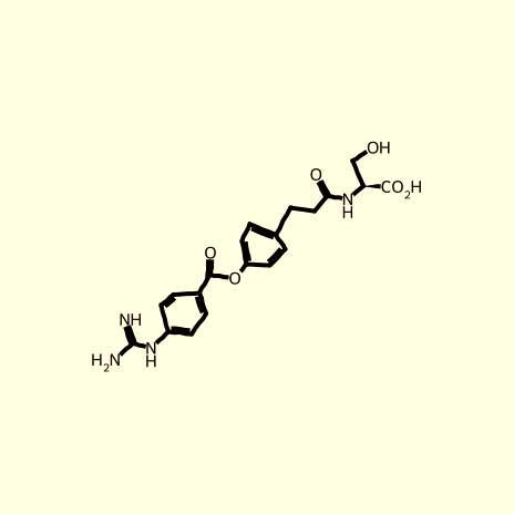 N=C(N)Nc1ccc(C(=O)Oc2ccc(CCC(=O)N[C@@H](CO)C(=O)O)cc2)cc1